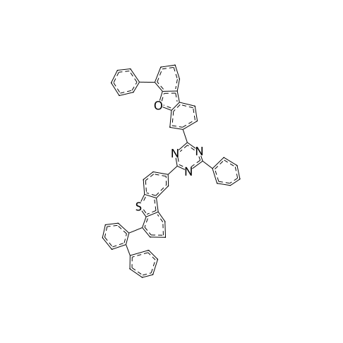 c1ccc(-c2nc(-c3ccc4c(c3)oc3c(-c5ccccc5)cccc34)nc(-c3ccc4sc5c(-c6ccccc6-c6ccccc6)cccc5c4c3)n2)cc1